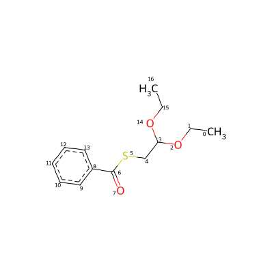 CCOC(CSC(=O)c1ccccc1)OCC